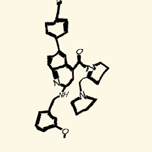 COc1cccc(CNc2cc(C(=O)N3CCC[C@H]3CN3CCCC3)c3cc(-c4ccc(C#N)cc4)ccc3n2)c1